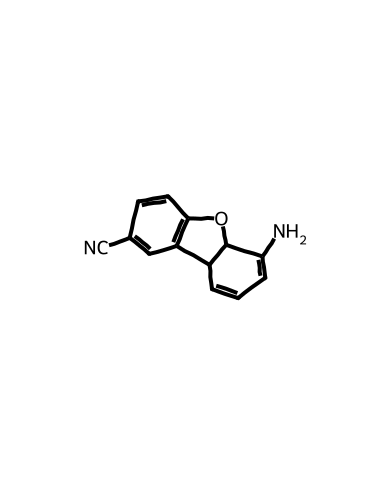 N#Cc1ccc2c(c1)C1C=CC=C(N)C1O2